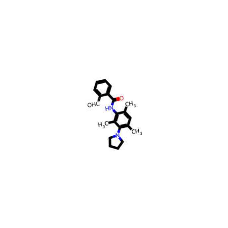 Cc1cc(C)c(N2CCCC2)c(C)c1NC(=O)c1ccccc1C=O